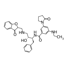 CCNc1cc(C(=O)N[C@@H](Cc2ccccc2)[C@H](O)CNCC2Oc3ccccc3C2=O)cc(N2CCCC2=O)c1